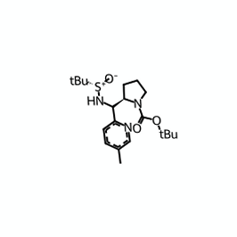 Cc1ccc(C(N[S@@+]([O-])C(C)(C)C)[C@H]2CCCN2C(=O)OC(C)(C)C)nc1